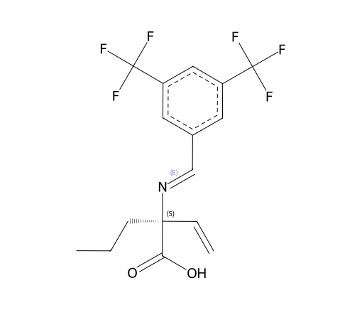 C=C[C@](CCC)(/N=C/c1cc(C(F)(F)F)cc(C(F)(F)F)c1)C(=O)O